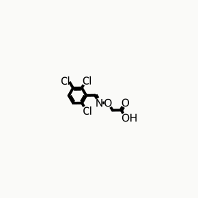 O=C(O)CON=Cc1c(Cl)ccc(Cl)c1Cl